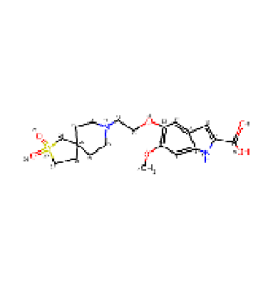 COc1cc2[nH]c(C(=O)O)cc2cc1OCCN1CCC2(CC1)CCS(=O)(=O)C2